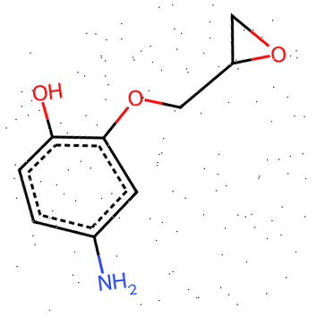 Nc1ccc(O)c(OCC2CO2)c1